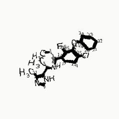 CC[C@@H](N[C@H](C)c1[nH]cnc1C)c1ccc(Cl)c(Oc2ccccc2)c1F